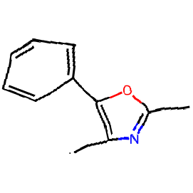 [CH2]c1nc(C)oc1-c1ccccc1